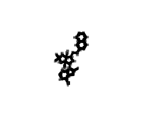 Cc1cc2c(Cl)ncnc2n1[C@@H]1O[C@H](COc2ccc3cccnc3c2)[C@H]2OC(C)(C)O[C@H]21